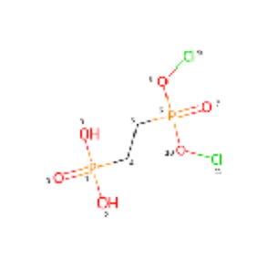 O=P(O)(O)CCP(=O)(OCl)OCl